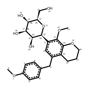 COc1ccc(Cc2cc([C@@H]3O[C@H](CO)[C@H](O)[C@H](O)[C@@H]3O)c(OC)c3c2CCCO3)cc1